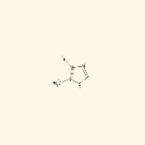 [CH2]c1scnc1F